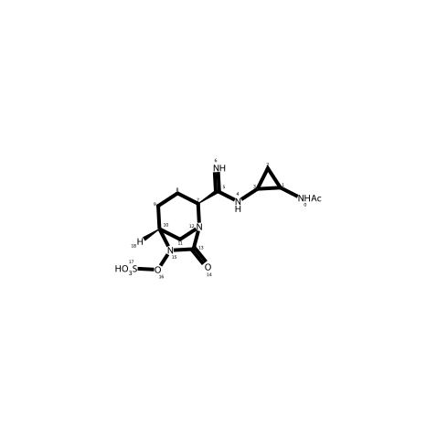 CC(=O)NC1CC1NC(=N)[C@@H]1CC[C@@H]2CN1C(=O)N2OS(=O)(=O)O